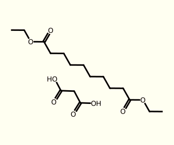 CCOC(=O)CCCCCCCCC(=O)OCC.O=C(O)CC(=O)O